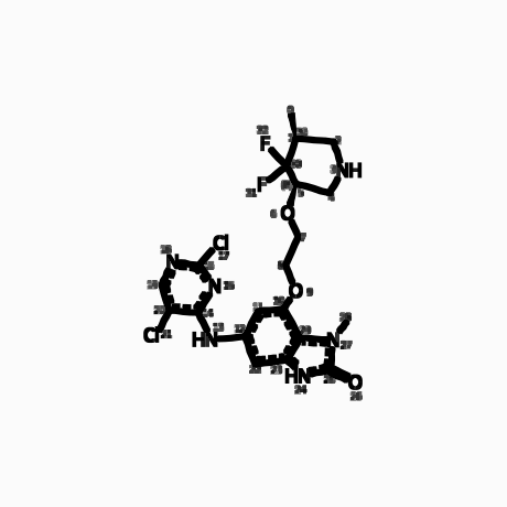 C[C@H]1CNC[C@@H](OCCOc2cc(Nc3nc(Cl)ncc3Cl)cc3[nH]c(=O)n(C)c23)C1(F)F